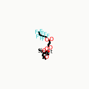 CCC(OC(=O)C=CC(=O)OC(F)C(F)(F)C(F)(F)C(F)C(F)F)[Si]1(O[Si](C)(C)C)CCC(C)(C)O[Si]1(C)C